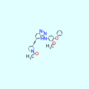 COc1cc(Nc2ncnc3ccc(C#CC4=CCCN(C(C)=O)C4)cc23)ccc1Oc1ccccc1